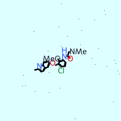 CNCC(=O)Nc1ccc(Cl)c(COc2ccc3nc(C)ccc3c2)c1OC